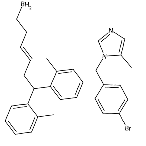 BCCC=CCC(c1ccccc1C)c1ccccc1C.Cc1cncn1Cc1ccc(Br)cc1